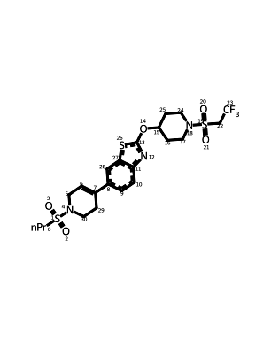 CCCS(=O)(=O)N1CC=C(c2ccc3nc(OC4CCN(S(=O)(=O)CC(F)(F)F)CC4)sc3c2)CC1